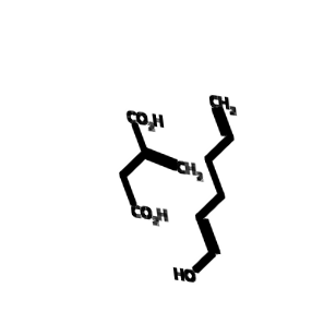 C=C(CC(=O)O)C(=O)O.C=CCCC=CO